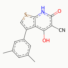 Cc1cc(C)cc(-c2csc3[nH]c(=O)c(C#N)c(O)c23)c1